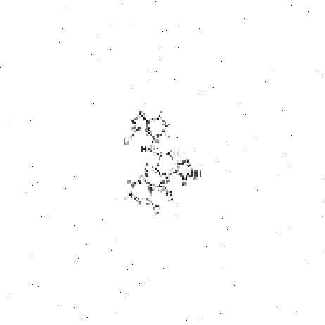 CC(Nc1ncnc2scc(Br)c12)c1nc2cccc(Cl)c2c(=O)n1-c1cc[nH]n1